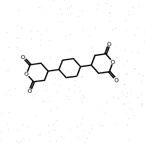 O=C1CC(C2CCC(C3CC(=O)OC(=O)C3)CC2)CC(=O)O1